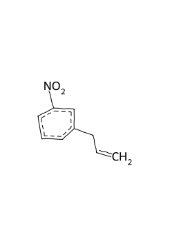 C=CCc1cccc([N+](=O)[O-])c1